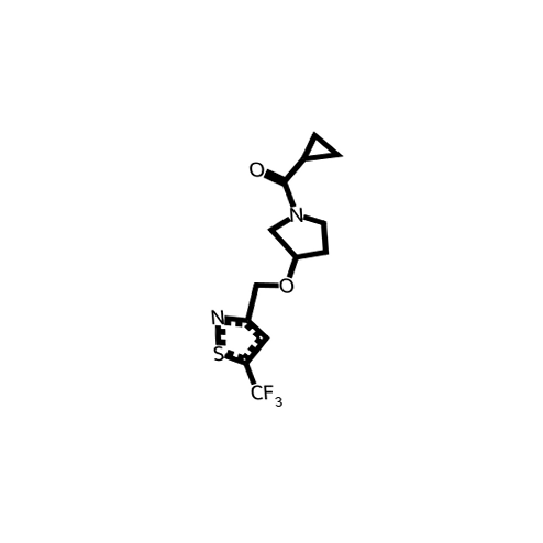 O=C(C1CC1)N1CCC(OCc2cc(C(F)(F)F)sn2)C1